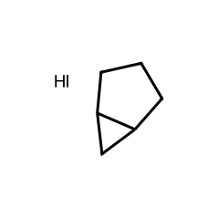 C1CC2CC2C1.I